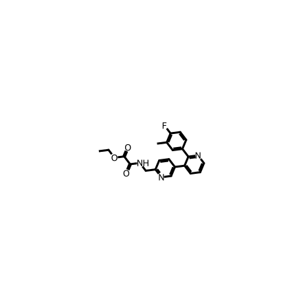 CCOC(=O)C(=O)NCc1ccc(-c2cccnc2-c2ccc(F)c(C)c2)cn1